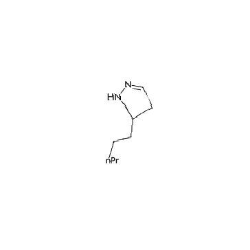 CCCCCC1CC=NN1